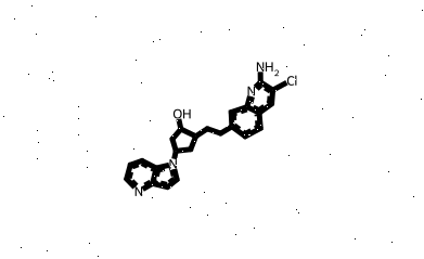 Nc1nc2cc(CCC3CC(n4ccc5ncccc54)CC3O)ccc2cc1Cl